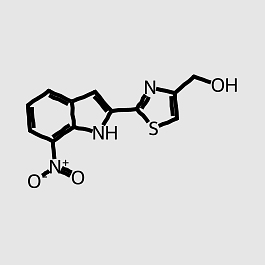 O=[N+]([O-])c1cccc2cc(-c3nc(CO)cs3)[nH]c12